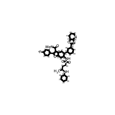 CNC(=O)c1c(-c2ccc(F)cc2)oc2cc(NS(=O)(=O)CCC(C)Nc3ccccc3)c(-c3cccc(-c4nc5ncccc5o4)c3)cc12